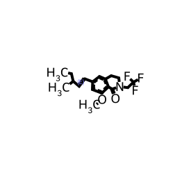 CCC(C)/C=C/c1cc2c(c(OC)c1)C(=O)N(CC(F)(F)F)CC2